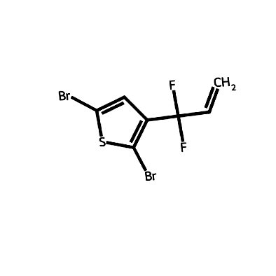 C=CC(F)(F)c1cc(Br)sc1Br